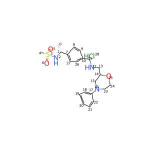 C[C@@H](NS(C)(=O)=O)c1ccc(CNCC2CN(c3ccccc3)CCO2)cc1.Cl